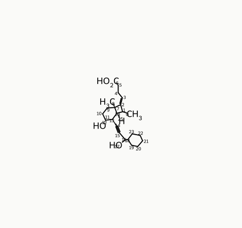 CC1/C(=C/CCC(=O)O)[C@@]2(C)CC[C@@H](O)[C@H](C#CC(O)C3CCCCC3)[C@@H]12